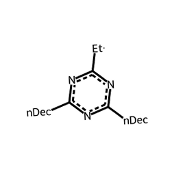 C[CH]c1nc(CCCCCCCCCC)nc(CCCCCCCCCC)n1